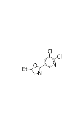 CCC1CN=C(c2cnc(Cl)c(Cl)c2)O1